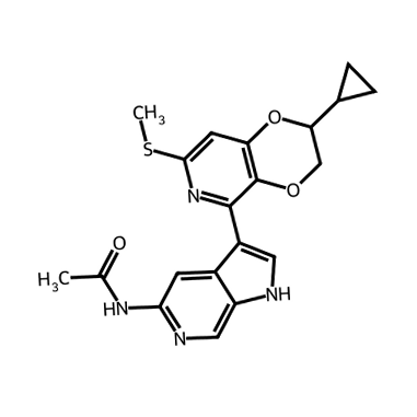 CSc1cc2c(c(-c3c[nH]c4cnc(NC(C)=O)cc34)n1)OCC(C1CC1)O2